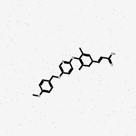 COc1ccc(COc2ccc(OC3=C(C)CC(/C=C/C(=O)O)C=C3C)nc2)cc1